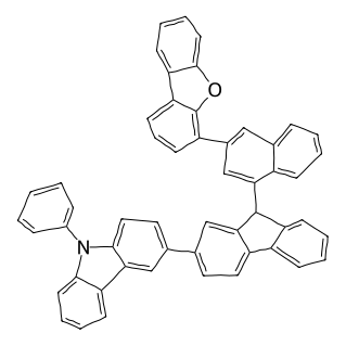 c1ccc(-n2c3ccccc3c3cc(-c4ccc5c(c4)C(c4cc(-c6cccc7c6oc6ccccc67)cc6ccccc46)c4ccccc4-5)ccc32)cc1